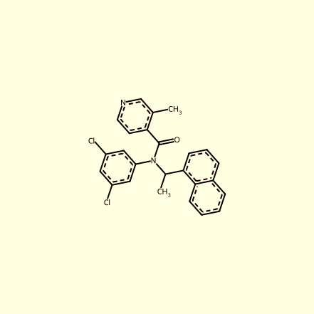 Cc1cnccc1C(=O)N(c1cc(Cl)cc(Cl)c1)C(C)c1cccc2ccccc12